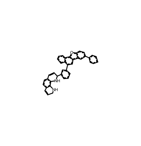 C1=Cc2ccc3c(c2NC1)NC(c1cccc(-c2cc4c5cc(-c6ccccc6)ccc5oc4c4ccccc24)c1)C=C3